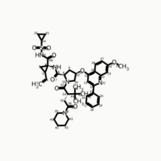 C=CC1C[C@]1(NC(=O)[C@H]1C[C@@H](Oc2cc(-c3ccccc3)nc3cc(OC)ccc23)CN1C(=O)[C@@H](CC(=O)N1CCCCC1)C(C)(C)C)C(=O)NS(=O)(=O)C1CC1